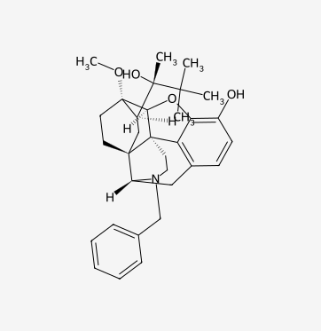 CO[C@@]12CC[C@]3(C[C@@H]1[C@](C)(O)C(C)(C)C)[C@H]1Cc4ccc(O)c5c4[C@]3(CCN1Cc1ccccc1)[C@@H]2O5